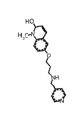 CN1c2ccc(OCCCNCc3ccncc3)cc2C=CC1O